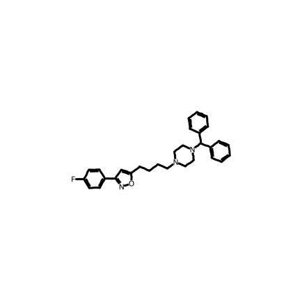 Fc1ccc(-c2cc(CCCCN3CCN(C(c4ccccc4)c4ccccc4)CC3)on2)cc1